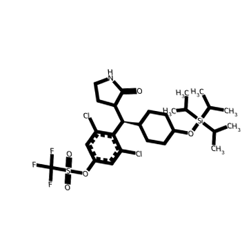 CC(C)[Si](OC1CCC([C@@H](c2c(Cl)cc(OS(=O)(=O)C(F)(F)F)cc2Cl)C2CCNC2=O)CC1)(C(C)C)C(C)C